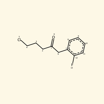 O=C(CCCCl)Cc1ccccc1F